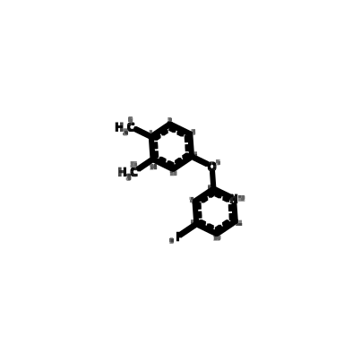 Cc1ccc(Oc2cc(I)ccn2)cc1C